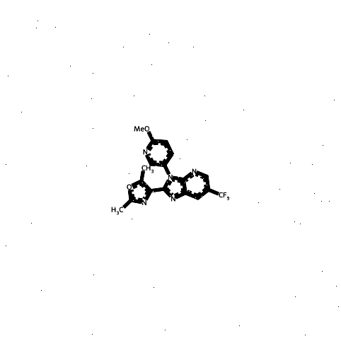 COc1ccc(-n2c(-c3nc(C)oc3C)nc3cc(C(F)(F)F)cnc32)cn1